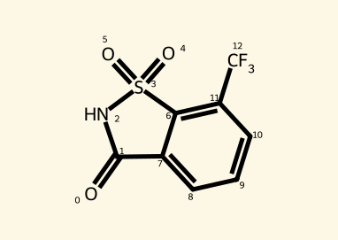 O=C1NS(=O)(=O)c2c1cccc2C(F)(F)F